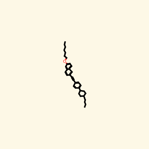 CCCCCCCOc1ccc2cc(C#Cc3ccc(C4CCC(CCCC)CC4)cc3)ccc2c1